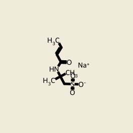 CC=CC(=O)NC(C)(C)CS(=O)(=O)[O-].[Na+]